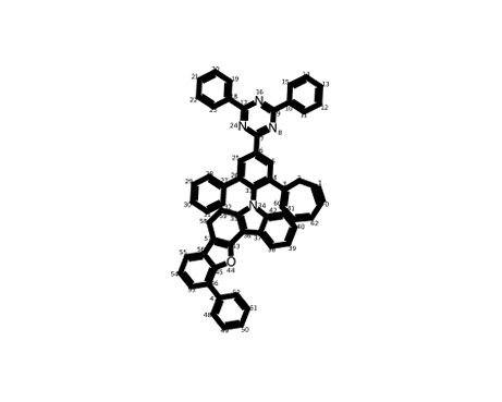 C1#CCC(c2cc(-c3nc(-c4ccccc4)nc(-c4ccccc4)n3)cc(-c3ccccc3)c2-n2c3c(c4ccccc42)-c2oc4c(-c5ccccc5)cccc4c2CC3)=CC=C1